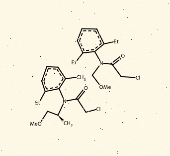 CCc1cccc(C)c1N(C(=O)CCl)[C@@H](C)COC.CCc1cccc(CC)c1N(COC)C(=O)CCl